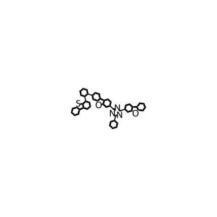 c1ccc(-c2nc(-c3ccc4c(c3)oc3ccccc34)nc(-c3ccc4c(c3)oc3cc(-c5ccccc5-c5cccc6c5sc5ccccc56)ccc34)n2)cc1